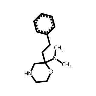 CN(C)C1(CCc2ccccc2)CNCCO1